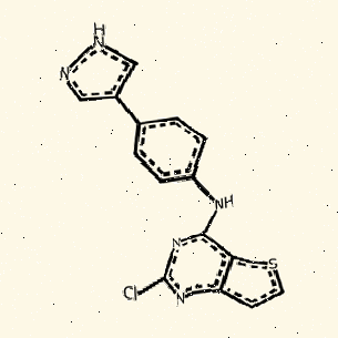 Clc1nc(Nc2ccc(-c3cn[nH]c3)cc2)c2sccc2n1